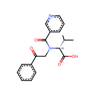 CC(C)[C@H](C(=O)O)N(CC(=O)c1ccccc1)C(=O)c1cccnc1